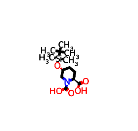 CC(C)(C)[Si](C)(C)O[C@H]1CC[C@@H](C(=O)O)N(C(=O)O)C1